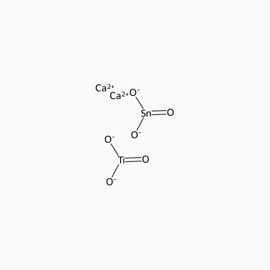 [Ca+2].[Ca+2].[O]=[Sn]([O-])[O-].[O]=[Ti]([O-])[O-]